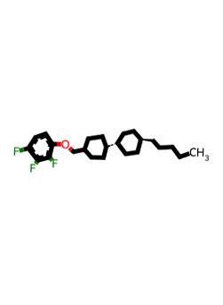 CCCCC[C@H]1CC[C@H](C2CCC(COc3ccc(F)c(F)c3F)CC2)CC1